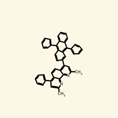 Cc1cc(-c2ccccc2)c2ccc3c(-c4ccc5c(-c6ccccc6)c6ccccc6c(-c6ccccc6)c5c4)cc(C)nc3c2n1